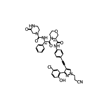 N#CCCn1cc(C#Cc2ccc(NC(=O)[C@@H]3COCCN3C(=O)[C@H](NC(=O)N3CCNC(=O)C3)c3ccccc3)cc2)c(-c2cc(Cl)ccc2O)n1